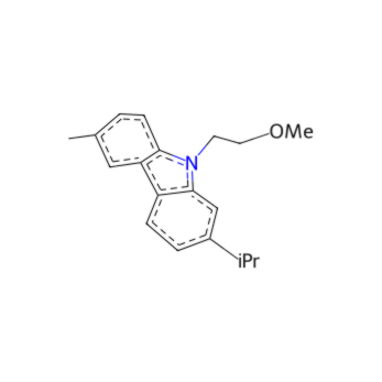 COCCn1c2ccc(C)cc2c2ccc(C(C)C)cc21